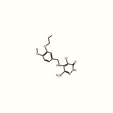 CCCOc1cc(CNc2c(N)n[nH]c(=O)c2Cl)ccc1OC